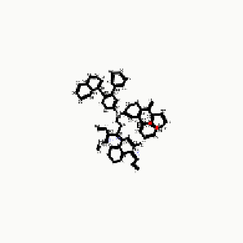 C=C/C=C\C1=CCCC=C1/C(C=C(C)C)=C(CCN(C1=CC(c2ccccc2)=C(C(=C)C2=C(CC)CCC=C2)CC1)C1=CC(c2ccccc2)=C(C2=CC=CC3C=CC=CC23)CC1)\C(C=C)=C\N=C